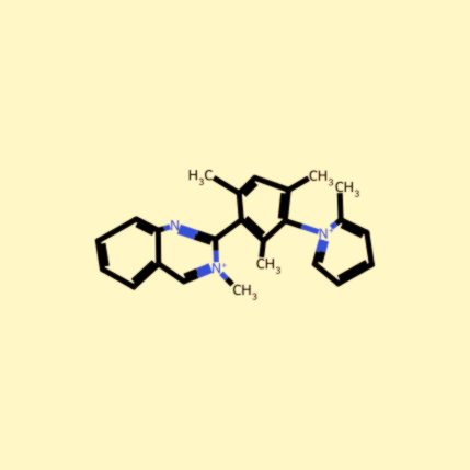 Cc1cc(C)c(-[n+]2ccccc2C)c(C)c1-c1nc2ccccc2c[n+]1C